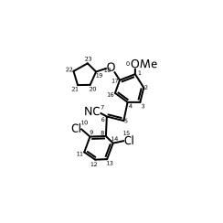 COc1ccc(/C=C(\C#N)c2c(Cl)cccc2Cl)cc1OC1CCCC1